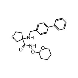 O=C(NOC1CCCCO1)C1(NCc2ccc(-c3ccccc3)cc2)CCSC1